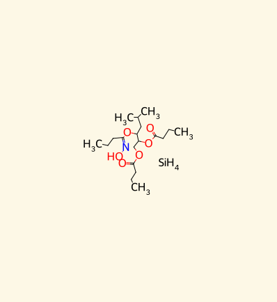 CCCC(=O)OCC(OC(=O)CCC)C(CC(C)C)OC(CCC)=NO.[SiH4]